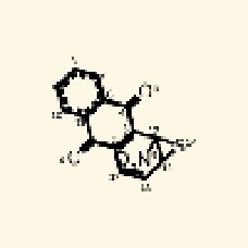 O=C1C2=C(C(=O)c3ccccc31)C1([N+](=O)[O-])SC1C=C2